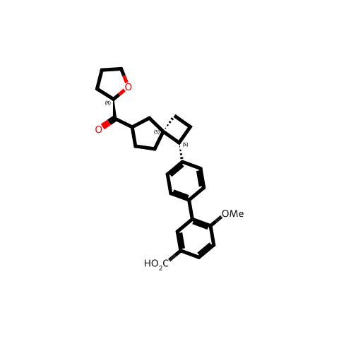 COc1ccc(C(=O)O)cc1-c1ccc([C@H]2CC[C@@]23CCC(C(=O)[C@H]2CCCO2)C3)cc1